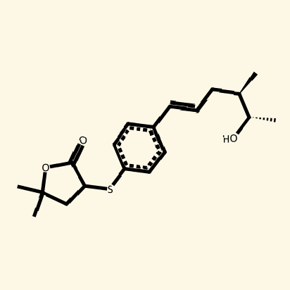 C[C@H](O)[C@H](C)C/C=C/c1ccc(SC2CC(C)(C)OC2=O)cc1